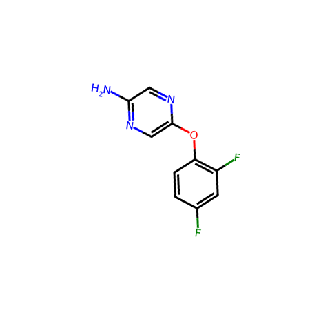 Nc1cnc(Oc2ccc(F)cc2F)cn1